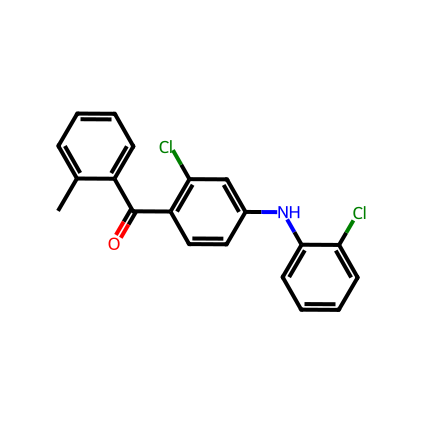 Cc1ccccc1C(=O)c1ccc(Nc2ccccc2Cl)cc1Cl